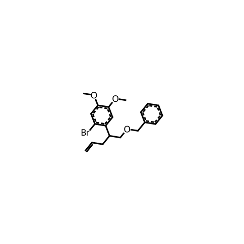 C=CCC(COCc1ccccc1)c1cc(OC)c(OC)cc1Br